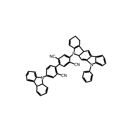 N#Cc1cc(N2c3ccccc3C3C=CC=CC32)ccc1-c1cc(C#N)c(N2C3=C(CCC=C3)C3C=c4c(n(-c5ccccc5)c5ccccc45)=CC32)cc1C#N